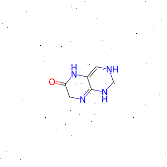 O=C1CN=C2NCNC=C2N1